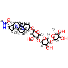 CNC(=O)[C@H]1CC[C@]2(N)[C@@H]3CC[C@@H]4C[C@@H](O[C@H]5C[C@H](O)[C@H](O[C@H]6C[C@H](O)[C@H](O[C@H]7C[C@H](O)[C@H](O)[C@@H](C)O7)[C@@H](C)O6)[C@@H](C)O5)CC[C@]4(C)[C@H]3CC[C@]12C